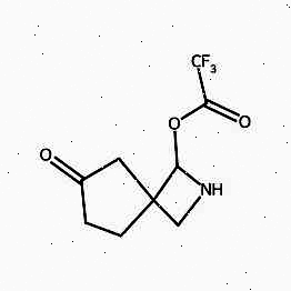 O=C1CCC2(CNC2OC(=O)C(F)(F)F)C1